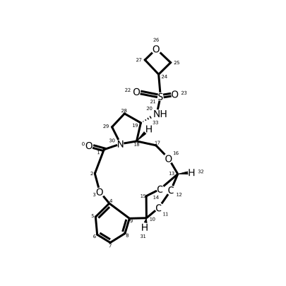 O=C1COc2ccccc2[C@H]2CC[C@H](CC2)OC[C@H]2[C@@H](NS(=O)(=O)C3COC3)CCN12